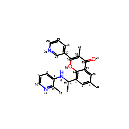 Cc1cc([C@@H](C)Nc2cccnc2C)c2oc(-c3cccnc3)c(C)c(=O)c2c1